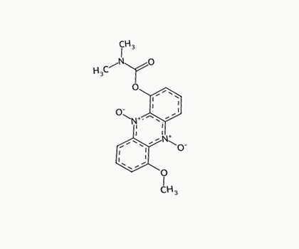 COc1cccc2c1[n+]([O-])c1cccc(OC(=O)N(C)C)c1[n+]2[O-]